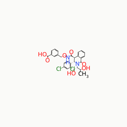 C[C@H](O)[C@H](CO)N1C(=O)c2ccccc2[C@H](C(=O)NOCc2cccc(C(=O)O)c2)[C@H]1c1ccc(Cl)cc1Cl